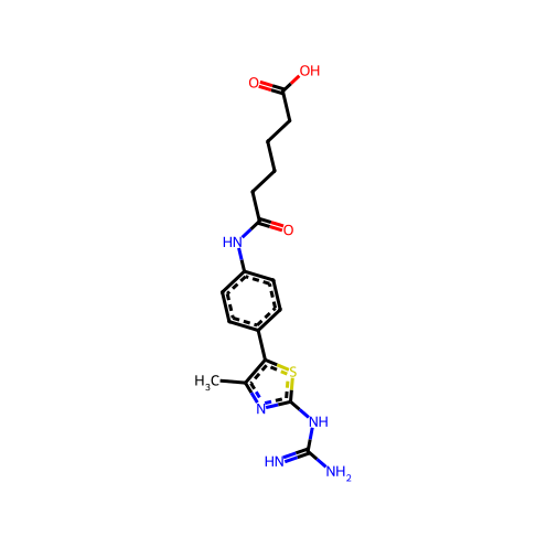 Cc1nc(NC(=N)N)sc1-c1ccc(NC(=O)CCCCC(=O)O)cc1